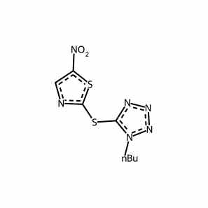 CCCCn1nnnc1Sc1ncc([N+](=O)[O-])s1